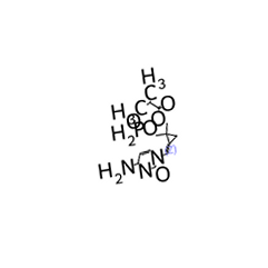 CC(C)C(=O)OCC1(CO[PH2]=O)C/C1=C/n1ccc(N)nc1=O